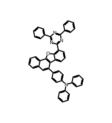 c1ccc(-c2nc(-c3ccccc3)nc(-c3cccc4c3oc3c5ccccc5cc(-c5ccc(N(c6ccccc6)c6ccccc6)cc5)c43)n2)cc1